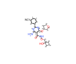 N#Cc1cccc(-c2nc(N)c(C(=O)NOCC3(O)CCC3)c(OC3CCOC3)n2)c1